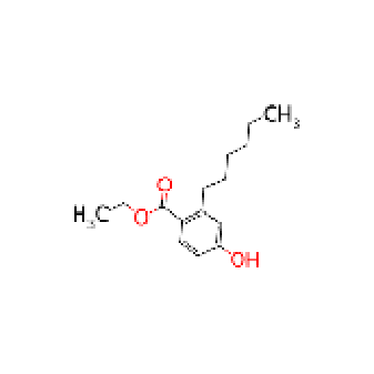 CCCCCCc1cc(O)ccc1C(=O)OCC